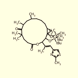 CC(=Cc1csc(C)n1)C1OC(=O)CCC(C)(C)C(=O)C(C)CC(C)CCCC2CC2(O[Si](C)(C)C(C)(C)C)C1O[Si](C)(C)C(C)(C)C